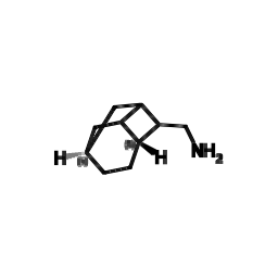 NCC1C2C[C@H]3CC[C@@H]1C2C3